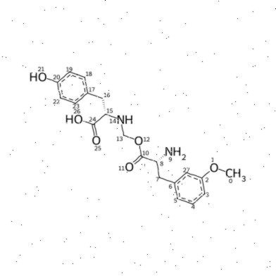 COc1cccc(C[C@@H](N)C(=O)OCN[C@@H](Cc2ccc(O)cc2)C(=O)O)c1